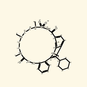 CN1CCN(C)C(=O)COc2ccccc2-c2c(C3CCCCC3)c3ccc(cc3n2C)C(=O)NS(=O)(=O)N(C)CC1